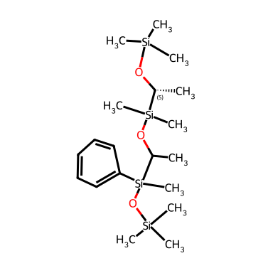 CC(O[Si](C)(C)[C@@H](C)O[Si](C)(C)C)[Si](C)(O[Si](C)(C)C)c1ccccc1